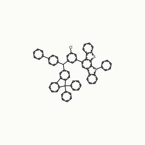 Clc1cc(-c2cc3c4ccccc4n(-c4ccccc4)c3c3sc4ccccc4c23)cc(C(c2ccc(-c3ccccc3)cc2)c2ccc3c(c2)-c2ccccc2C3(c2ccccc2)c2ccccc2)c1